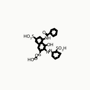 O=C(Nc1cc(S(=O)(=O)O)cc2cc(SOOO)c(N=Nc3ccccc3S(=O)(=O)O)c(O)c12)c1ccccc1